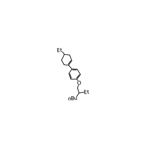 CCCCC(CC)COc1ccc(C2=CCC(CC)CC2)cc1